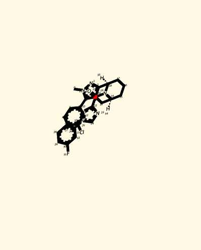 Cn1nc2c(c1-c1cccc(Cl)c1)C[C@@H]1CCC[C@H]2N1C(=O)c1ncn(-c2cccc(F)c2)n1